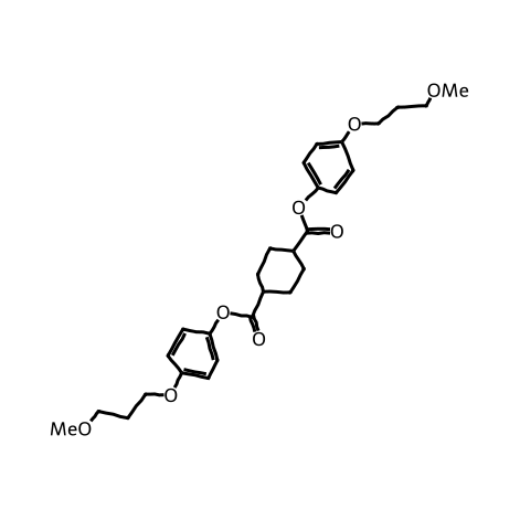 COCCCOc1ccc(OC(=O)C2CCC(C(=O)Oc3ccc(OCCCOC)cc3)CC2)cc1